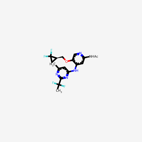 CC(=O)Nc1cc(Nc2cc(C)nc(C(C)(F)F)n2)c(OC[C@H]2CC2(F)F)cn1